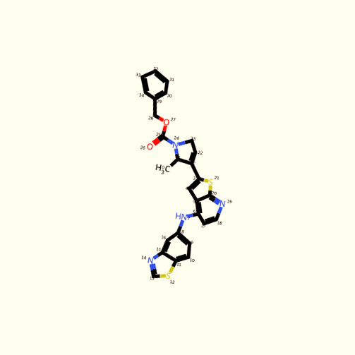 CC1C(c2cc3c(Nc4ccc5scnc5c4)ccnc3s2)=CCN1C(=O)OCc1ccccc1